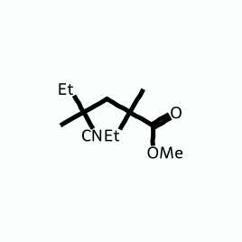 CCC(C)(C#N)CC(C)(CC)C(=O)OC